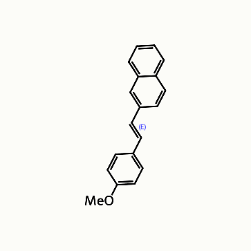 COc1ccc(/C=C/c2ccc3ccccc3c2)cc1